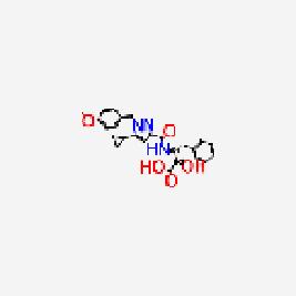 COc1ccc(Cn2nc(C(=O)N[C@H](Cc3ccccc3)[C@@H](O)C(=O)O)cc2C2CC2)cc1